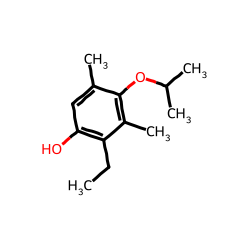 CCc1c(O)cc(C)c(OC(C)C)c1C